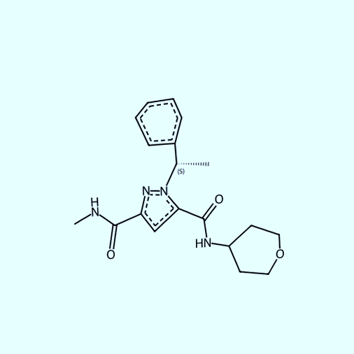 CNC(=O)c1cc(C(=O)NC2CCOCC2)n([C@@H](C)c2ccccc2)n1